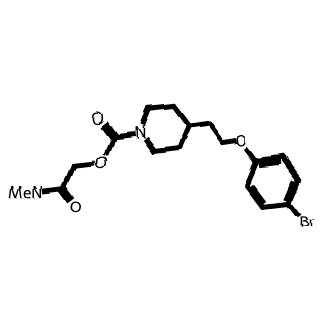 CNC(=O)COC(=O)N1CCC(CCOc2ccc(Br)cc2)CC1